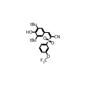 CC(C)(C)c1cc(C=C(C#N)S(=O)(=O)c2cccc(OC(F)(F)F)c2)cc(C(C)(C)C)c1O